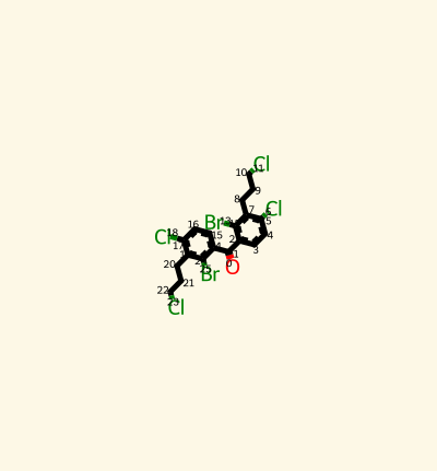 O=C(c1ccc(Cl)c(CCCCl)c1Br)c1ccc(Cl)c(CCCCl)c1Br